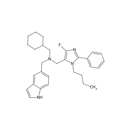 CCCCn1c(-c2ccccc2)nc(F)c1CN(Cc1ccc2[nH]ccc2c1)CC1CCCCC1